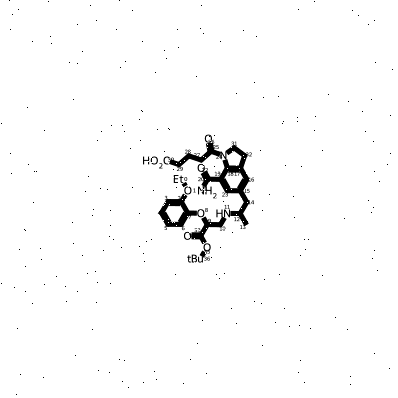 CCOc1ccccc1OC(CNC(C)Cc1cc2c(c(C(N)=O)c1)N(C(=O)CCCC(=O)O)CC2)C(=O)OC(C)(C)C